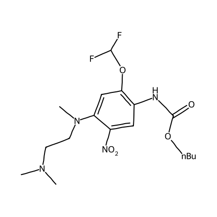 CCCCOC(=O)Nc1cc([N+](=O)[O-])c(N(C)CCN(C)C)cc1OC(F)F